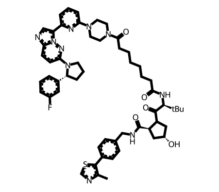 Cc1ncsc1-c1ccc(CNC(=O)[C@@H]2C[C@@H](O)CC2C(=O)[C@@H](NC(=O)CCCCCCC(=O)N2CCN(c3cccc(-c4cnc5ccc(N6CCC[C@@H]6c6cccc(F)c6)nn45)n3)CC2)C(C)(C)C)cc1